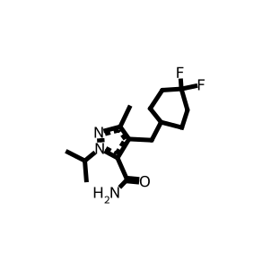 Cc1nn(C(C)C)c(C(N)=O)c1CC1CCC(F)(F)CC1